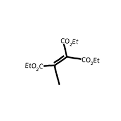 CCOC(=O)C(C)=C(C(=O)OCC)C(=O)OCC